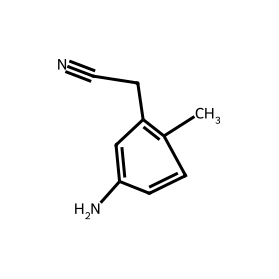 Cc1ccc(N)cc1CC#N